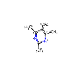 CC(=O)Oc1c(C)nc(C(F)(F)F)nc1C